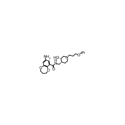 CC(C)OCCCN1CC[C@@H](CNC(=O)c2cc(N)cc3c2OCCCO3)[C@H](O)C1